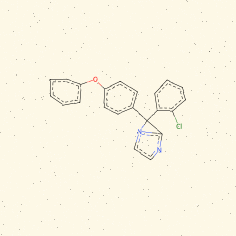 Clc1ccccc1C1(c2ccc(Oc3ccccc3)cc2)c2nccn21